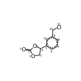 O=C1OCC(c2cccc(CCl)c2)O1